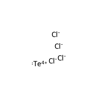 [Cl-].[Cl-].[Cl-].[Cl-].[Te+4]